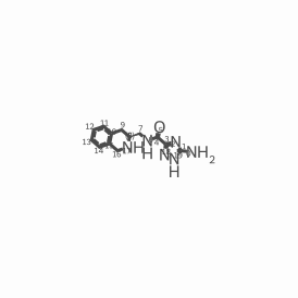 Nc1nc(C(=O)NC[C@@H]2Cc3ccccc3CN2)n[nH]1